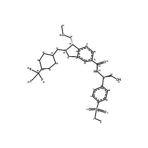 CCS(=O)(=O)c1ccc([C@H](CO)NC(=O)c2cnc3c(c2)CN(CC2CCC(C(F)(F)F)CC2)[C@@H]3COC)cc1